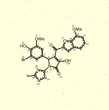 COc1cc(C2C(C(=O)c3cc4cccc(OC)c4o3)=C(O)C(=O)N2c2nnc(C)s2)cc(Br)c1O